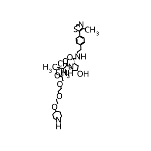 Cc1ncsc1-c1ccc(CCNC(=O)[C@@H]2C[C@H](O)CN2C(=O)[C@@H](NC(=O)COCCOCCOC2CCNCC2)C(C)(C)C)cc1